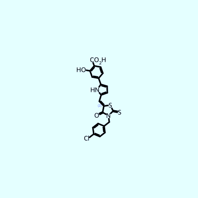 O=C(O)c1ccc(-c2ccc(/C=C3\SC(=S)N(Cc4ccc(Cl)cc4)C3=O)[nH]2)cc1O